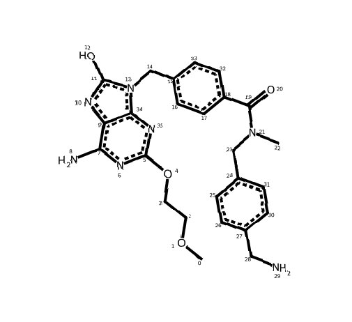 COCCOc1nc(N)c2nc(O)n(Cc3ccc(C(=O)N(C)Cc4ccc(CN)cc4)cc3)c2n1